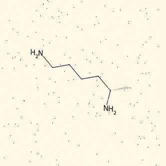 [CH2][C@H](N)CCCCN